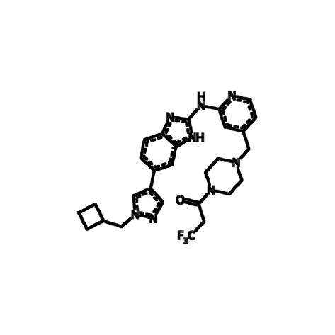 O=C(CC(F)(F)F)N1CCN(Cc2ccnc(Nc3nc4ccc(-c5cnn(CC6CCC6)c5)cc4[nH]3)c2)CC1